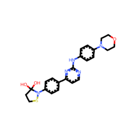 OC1(O)CCSN1c1ccc(-c2ccnc(Nc3ccc(N4CCOCC4)cc3)n2)cc1